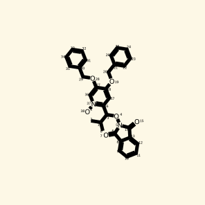 CC(C)C(ON1C(=O)c2ccccc2C1=O)c1cc(OCc2ccccc2)c(OCc2ccccc2)c[n+]1[O-]